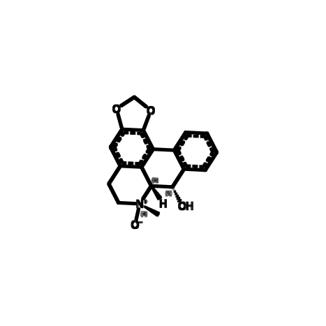 C[N@@+]1([O-])CCc2cc3c(c4c2[C@@H]1[C@@H](O)c1ccccc1-4)OCO3